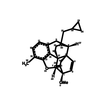 CO[C@]12C=C[C@@]3(CC1=O)[C@H]1Cc4ccc(C)c5c4[C@@]3(CCN1CC1CC1)[C@H]2O5